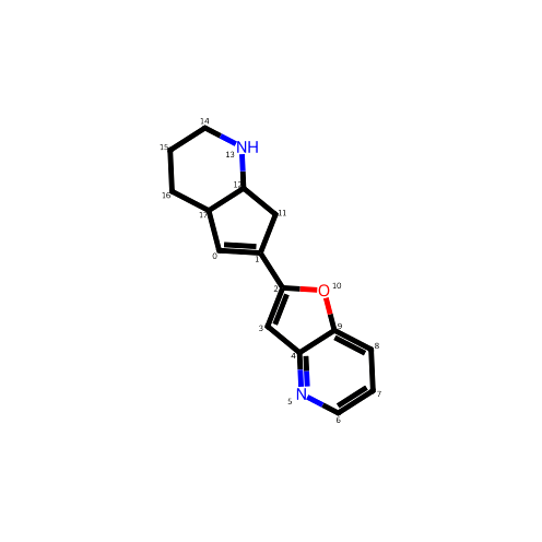 C1=C(c2cc3ncccc3o2)CC2NCCCC12